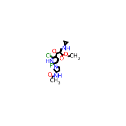 CCOC(=O)C(=CNC1CC1)C(=O)C1=C(Cl)NC(F)(N2CCC(NC(C)=O)C2)C=C1